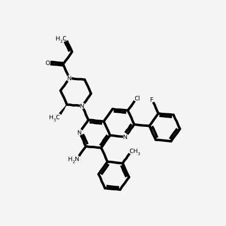 C=CC(=O)N1CCN(c2nc(N)c(-c3ccccc3C)c3nc(-c4ccccc4F)c(Cl)cc23)[C@@H](C)C1